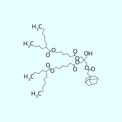 CCCCCCC(CCCC)C(=O)OCCCCCC(=O)OCC(CO)(COC(=O)CCCCCOC(=O)C(CCCC)CCCCCC)COC(=O)CC12CC3CC(CC(C3)C1)C2